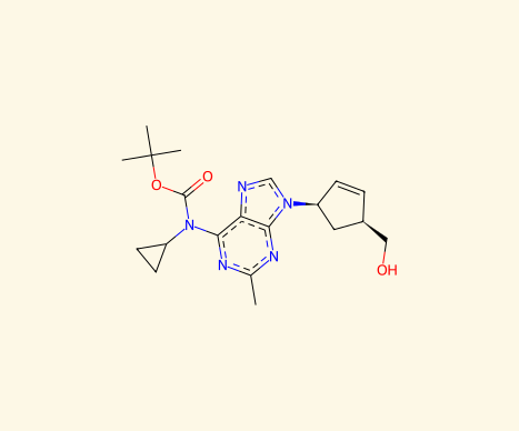 Cc1nc(N(C(=O)OC(C)(C)C)C2CC2)c2ncn([C@H]3C=C[C@@H](CO)C3)c2n1